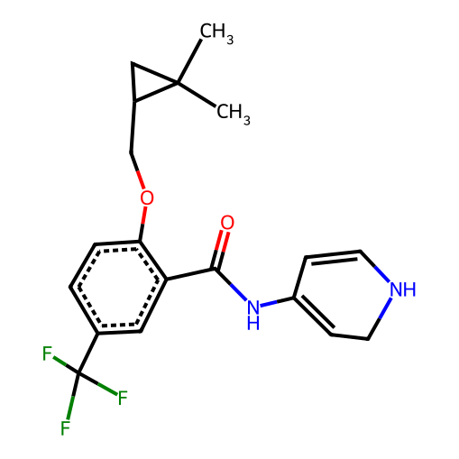 CC1(C)CC1COc1ccc(C(F)(F)F)cc1C(=O)NC1=CCNC=C1